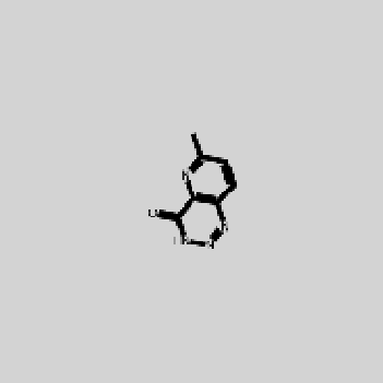 Cc1ccc2nn[nH]c(=O)c2n1